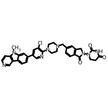 Cn1c2ccncc2c2ccc(-c3cnc(N4CCN(Cc5ccc6c(c5)CN(N5CCC(=O)NC5=O)C6=O)CC4)c(Cl)c3)cc21